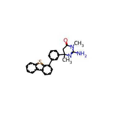 CN1C(=O)CC(C)(c2cccc(-c3cccc4c3sc3ccccc34)c2)N=C1N